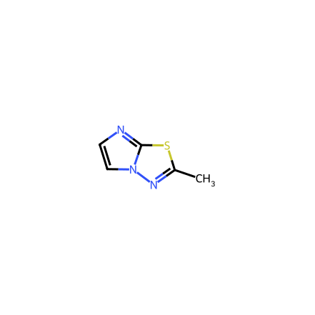 Cc1nn2ccnc2s1